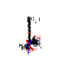 CC(C)[C@H]1C(=O)N[C@H](CO)Cc2cc(N(C(=O)CCCCCCCCCCCCCCCCCCCCC(=O)O)c3ccc4c(c3)C[C@@H](CO)NC(=O)[C@H](C(C)C)N4C)ccc2N1C